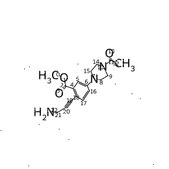 COC(=O)c1cc(N2CCN(C(C)=O)CC2)ccc1C#CCN